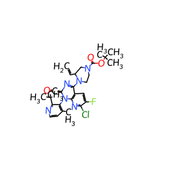 C=CC1CN(C(=O)OC(C)(C)C)CCN1C1=NC(=C=O)N(c2c(C)ccnc2C(C)C)c2nc(Cl)c(F)cc21